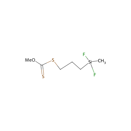 COC(=S)SCCC[Si](C)(F)F